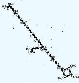 CN[C@@H](CCCCNC(=O)COCCOCCNC(=O)COCCOCCNC(=O)CCCC(=O)NCCCC[C@H](NC(=O)COCOCCNC(=O)COCCOCCNC(=O)CN1CCN(COC=O)CCN(COC=O)CCN(CC(=O)O)CC1)C(=O)NCCCC[C@H](C)C(N)=O)C(N)=O